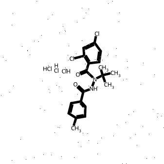 Cc1ccc(C(=O)NN(C(=O)c2ccc(Cl)cc2Cl)C(C)(C)C)cc1.Cl.Cl.Cl